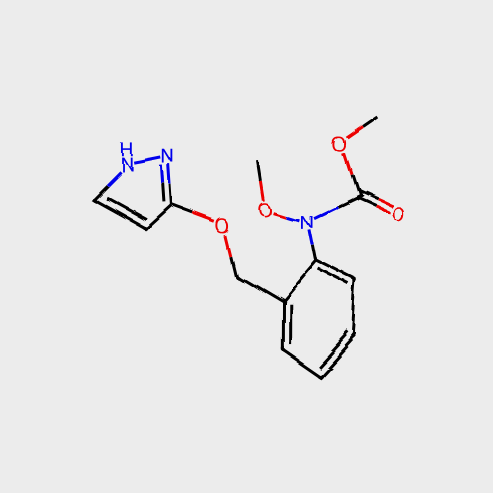 COC(=O)N(OC)c1ccccc1COc1cc[nH]n1